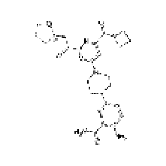 NC(=O)c1nc(C2CCN(c3cc(C(=O)N4CCC4)nc(C(=O)C[C@H]4CCCO4)n3)CC2)ccc1N